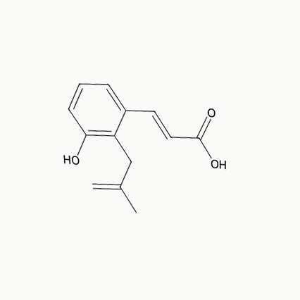 C=C(C)Cc1c(O)cccc1/C=C/C(=O)O